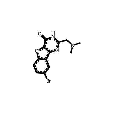 CN(C)Cc1nc2c(oc3ccc(Br)cc32)c(=O)[nH]1